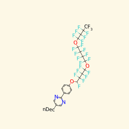 CCCCCCCCCCc1cnc(-c2ccc(OC(F)C(F)(F)C(F)(F)C(F)(F)OC(F)(F)C(F)(F)C(F)(F)C(F)(F)OC(F)(F)C(F)(F)C(F)(F)C(F)(F)F)cc2)nc1